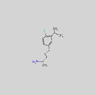 CC(C)c1cc(CCC[C@H](C)N)ccc1F